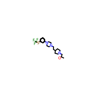 CC(=O)CN1CCC(CCN2CCN(c3cccc(SC(F)(F)F)c3)CC2)CC1